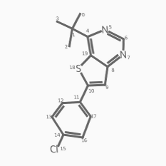 CC(C)(C)c1ncnc2cc(-c3ccc(Cl)cc3)sc12